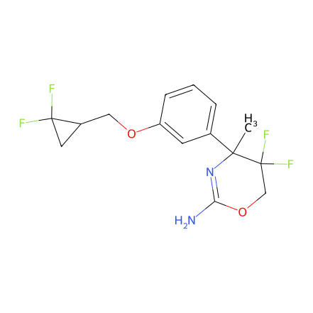 CC1(c2cccc(OCC3CC3(F)F)c2)N=C(N)OCC1(F)F